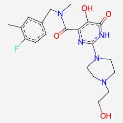 Cc1cc(CN(C)C(=O)c2nc(N3CCN(CCO)CC3)[nH]c(=O)c2O)ccc1F